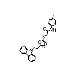 Cc1ccc(NC(=O)CSc2nnc(CCn3c4ccccc4c4ccccc43)o2)cc1